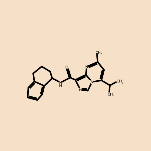 Cc1cc(C(C)C)n2cnc(C(=O)NC3CCCc4ccccc43)c2n1